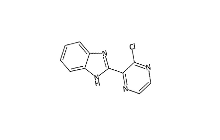 Clc1nccnc1-c1nc2ccccc2[nH]1